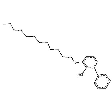 CCCCCCCCCCCCOc1cccc(-c2ccccc2)c1O